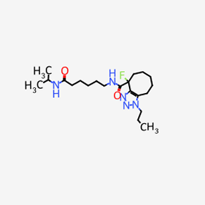 CCCn1nnc2c1CCCCCC2(F)C(=O)NCCCCCC(=O)NC(C)C